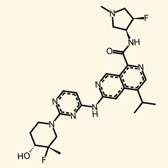 CC(C)c1cnc(C(=O)N[C@H]2CN(C)C[C@H]2F)c2cnc(Nc3ccnc(N4CC[C@@H](O)[C@@](C)(F)C4)n3)cc12